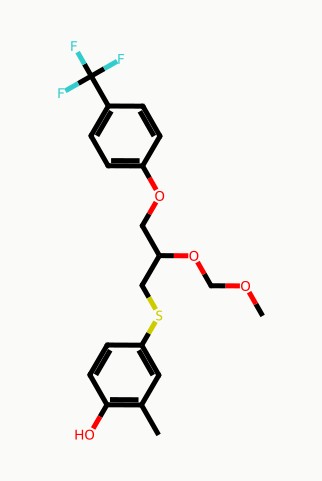 COCOC(COc1ccc(C(F)(F)F)cc1)CSc1ccc(O)c(C)c1